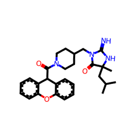 CC(C)CC1(C)NC(=N)N(CC2CCN(C(=O)C3c4ccccc4Oc4ccccc43)CC2)C1=O